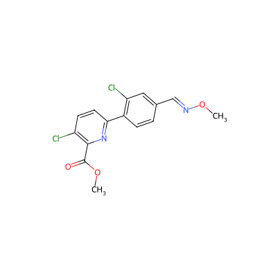 CON=Cc1ccc(-c2ccc(Cl)c(C(=O)OC)n2)c(Cl)c1